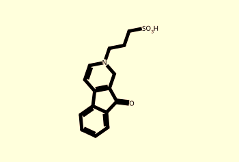 O=C1C2=C(C=CN(CCCS(=O)(=O)O)C2)c2ccccc21